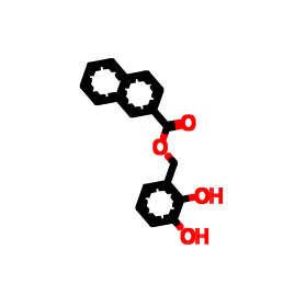 O=C(OCc1cccc(O)c1O)c1ccc2ccccc2c1